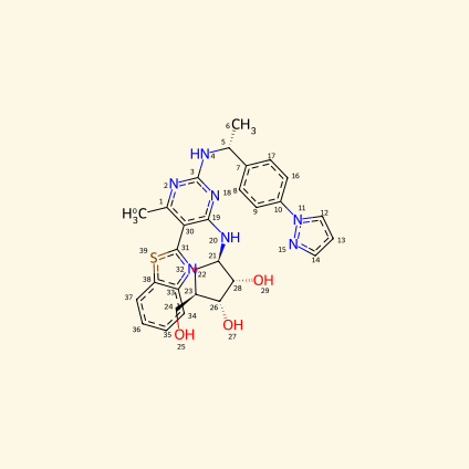 Cc1nc(N[C@H](C)c2ccc(-n3cccn3)cc2)nc(N[C@@H]2C[C@H](CO)[C@@H](O)[C@H]2O)c1-c1nc2ccccc2s1